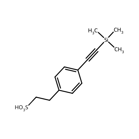 C[Si](C)(C)C#Cc1ccc(CCS(=O)(=O)O)cc1